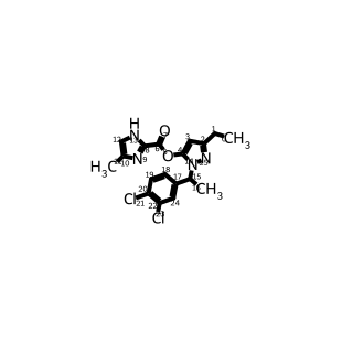 CCc1cc(OC(=O)c2nc(C)c[nH]2)n(C(C)c2ccc(Cl)c(Cl)c2)n1